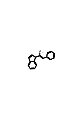 CC(=O)C(=Cc1ccccc1)C1C=Cc2ccccc21